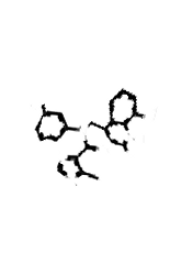 Cc1ncsc1C(=O)N(Cc1cc(=O)[nH]c2c(Cl)cccc12)c1cccc(Cl)c1